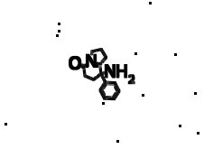 NC1(c2ccccc2)CCC(=O)N2CCCC21